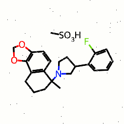 CC1(N2CCC(c3ccccc3F)C2)CCCc2c1ccc1c2OCO1.CS(=O)(=O)O